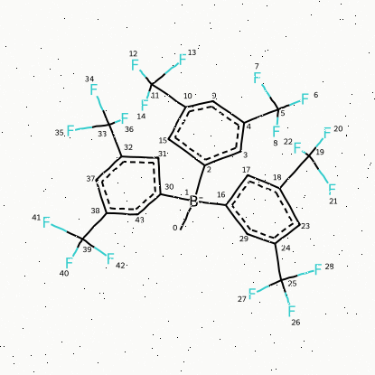 C[B-](c1cc(C(F)(F)F)cc(C(F)(F)F)c1)(c1cc(C(F)(F)F)cc(C(F)(F)F)c1)c1cc(C(F)(F)F)cc(C(F)(F)F)c1